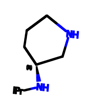 CC(C)N[C@@H]1CCCNC1